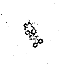 COC(=O)N1CCN(Cc2ccc(C(=O)N(C)CCN3CCC(OC(=O)Nc4ccccc4-c4ccccc4)CC3)o2)CC1